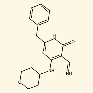 N=Cc1c(NC2CCOCC2)nc(Cc2ccccc2)[nH]c1=O